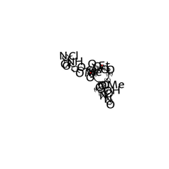 CC[C@H]1OC(=O)[C@H](C)C[C@H](C)C(OC2O[C@H](C)C[C@H](N(C)C(=O)N3CCOCC3)[C@H]2O)[C@](C)(OC)CCC(=O)[C@H](C)[C@H]2[C@H](SCCOc3cc(C(=O)Nc4c(Cl)cncc4Cl)ccc3OC)C(=O)O[C@@]21C